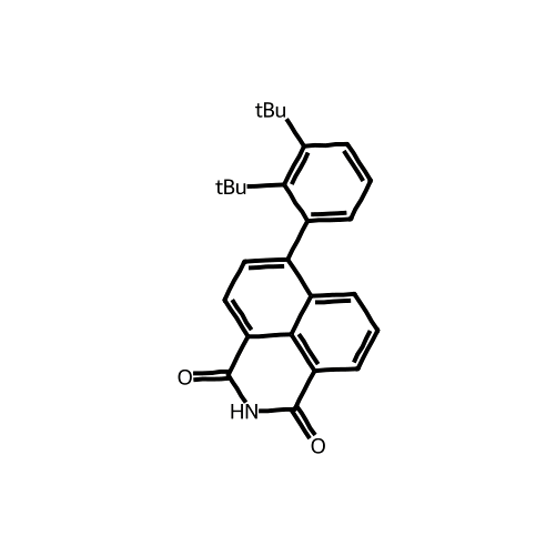 CC(C)(C)c1cccc(-c2ccc3c4c(cccc24)C(=O)NC3=O)c1C(C)(C)C